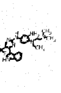 CCN(CCN(C)C)c1ccc(Nc2ncc(C(F)(F)F)c(-c3c[nH]c4ccccc34)n2)cc1N